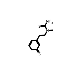 CN(CCC1=CC(=S)CC=C1)C(N)=S